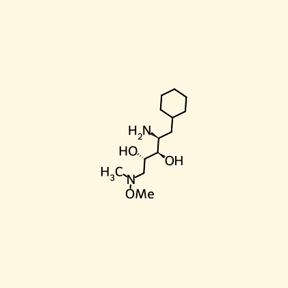 CON(C)C[C@H](O)[C@H](O)[C@@H](N)CC1CCCCC1